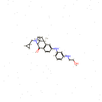 C[C@H]1C2C(=O)c3ccc(Nc4cccc(NCCO)c4)cc3[C@]1(C)CCN2CC1CC1